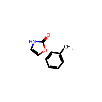 Cc1ccccc1.O=c1[nH]cco1